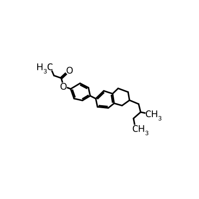 CCC(=O)Oc1ccc(-c2ccc3c(c2)CCC(CC(C)CC)C3)cc1